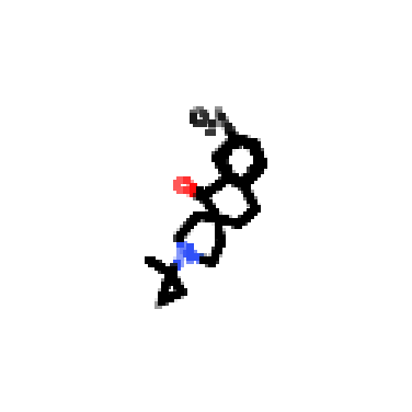 CC1(N2CCC3(CCc4ccc([N+](=O)[O-])cc4C3=O)CC2)CC1